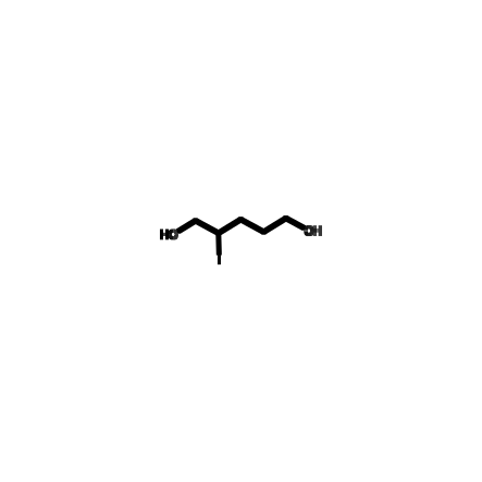 OCCCC(I)CO